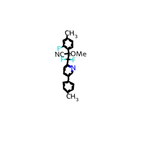 CO[C@](C#N)(c1ccc(C)cc1F)C(F)(F)c1ccc(-c2ccc(C)cc2)cn1